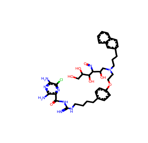 N=C(NCCCCc1ccc(OCCN(CCCc2ccc3ccccc3c2)CC(O)C(N=O)C(O)C(O)CO)cc1)NC(=O)c1nc(Cl)c(N)nc1N